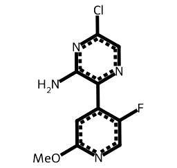 COc1cc(-c2ncc(Cl)nc2N)c(F)cn1